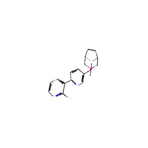 CN1CC2CCC(C1)N2Cc1ccc(-c2cccnc2N)nc1